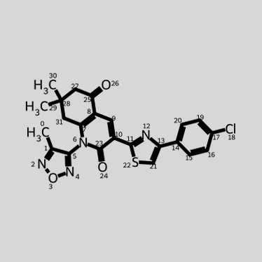 Cc1nonc1-n1c2c(cc(-c3nc(-c4ccc(Cl)cc4)cs3)c1=O)C(=O)CC(C)(C)C2